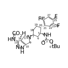 CC(C)(C)OC(=O)N[C@H]1C[C@@H](N2Cc3[nH]nc(NC(=O)O)c3C2)CC[C@@H]1c1cc(F)c(F)cc1F